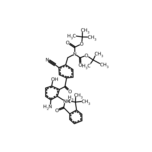 CC(C)(C)OC(=O)N(Cc1ccc(C(=O)c2c(O)ccc(N)c2NC(=O)c2ccccc2C(C)(C)C)cc1C#N)C(=O)OC(C)(C)C